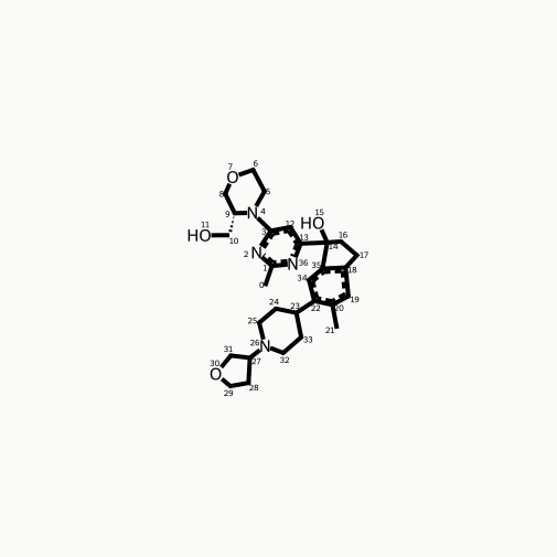 Cc1nc(N2CCOC[C@H]2CO)cc(C2(O)CCc3cc(C)c(C4CCN(C5CCOC5)CC4)cc32)n1